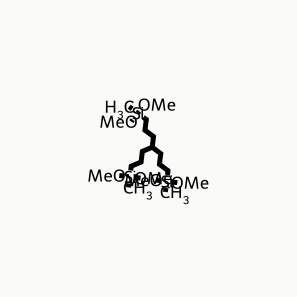 CO[Si](C)(CCCC(CCC[Si](C)(OC)OC)CCC[Si](C)(OC)OC)OC